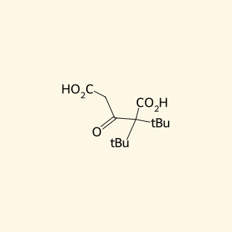 CC(C)(C)C(C(=O)O)(C(=O)CC(=O)O)C(C)(C)C